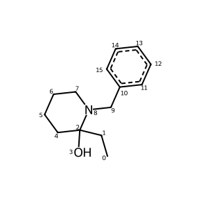 CCC1(O)CCCCN1Cc1ccccc1